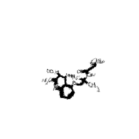 COCC(=O)NC(C)(C)COc1cccc2nc(C)c(C(=O)O)c(N)c12